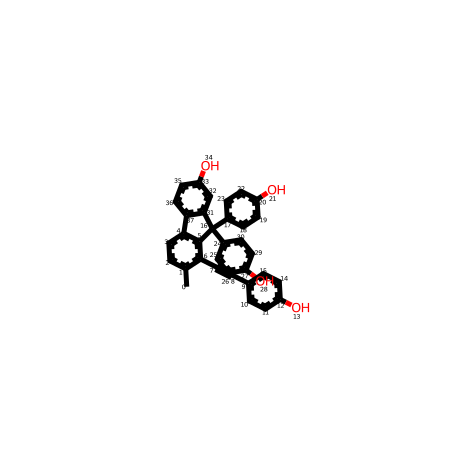 Cc1ccc2c(c1C#Cc1ccc(O)cc1)C(c1ccc(O)cc1)(c1ccc(O)cc1)c1cc(O)ccc1-2